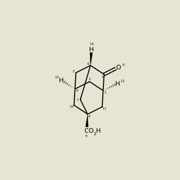 O=C1[C@@H]2C[C@@H]3C[C@H]1C[C@@](C(=O)O)(C3)C2